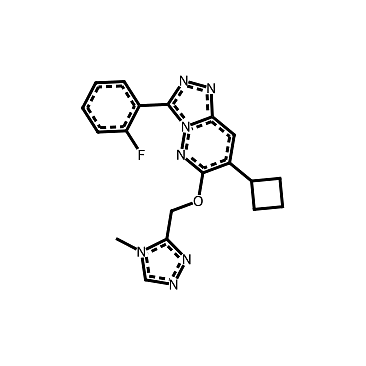 Cn1cnnc1COc1nn2c(-c3ccccc3F)nnc2cc1C1CCC1